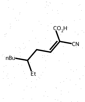 CCCCC(CC)CC=C(C#N)C(=O)O